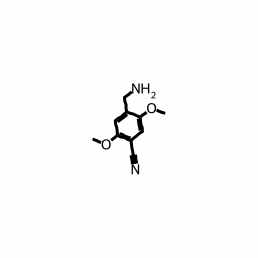 COc1cc(CN)c(OC)cc1C#N